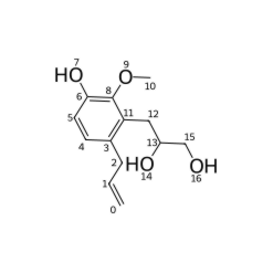 C=CCc1ccc(O)c(OC)c1CC(O)CO